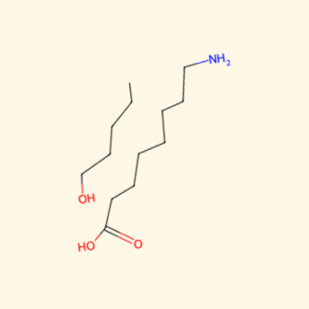 CCCCCO.NCCCCCCCC(=O)O